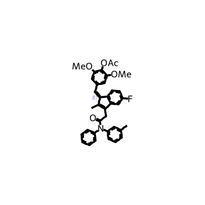 COc1cc(/C=C2/C(C)=C(CC(=O)N(c3ccccc3)c3cccc(C)c3)c3cc(F)ccc32)cc(OC)c1OC(C)=O